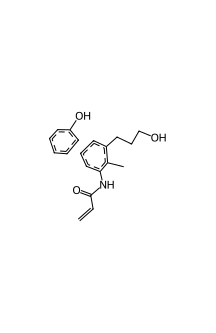 C=CC(=O)Nc1cccc(CCCO)c1C.Oc1ccccc1